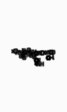 CC(C)c1ccccc1[C@H]1C(C)OCCN1C1CC2(CCN(c3ccc(C(=O)NS(=O)(=O)c4cnc(NCC5CCC(C)(C)CC5)c([N+](=O)[O-])c4)c(Oc4cnc5[nH]ccc5c4)c3)CC2)C1